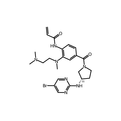 C=CC(=O)Nc1ccc(C(=O)N2CC[C@H](Nc3ncc(Br)cn3)C2)cc1N(C)CCN(C)C